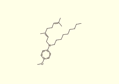 CCCCCCCCCN(C/C=C(\C)CCC=C(C)C)c1ccc(OC)cc1